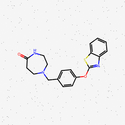 O=C1CCN(Cc2ccc(Oc3nc4ccccc4s3)cc2)CCN1